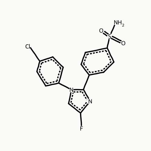 NS(=O)(=O)c1ccc(-c2nc(F)cn2-c2ccc(Cl)cc2)cc1